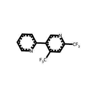 FC(F)(F)c1cc(C(F)(F)F)c(-c2ccccn2)cn1